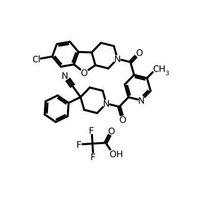 Cc1cnc(C(=O)N2CCC(C#N)(c3ccccc3)CC2)cc1C(=O)N1CCC2c3ccc(Cl)cc3OC2C1.O=C(O)C(F)(F)F